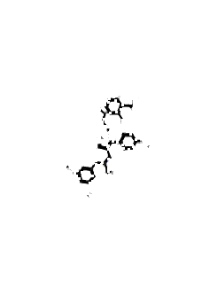 CCCCn1ncc(/C=C(\Cc2cc(OC)cc(OC)c2)C(=O)O)c1-c1ccc(OC)cc1OCc1ccccc1C(=O)O